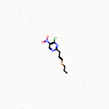 CCCSC=CCc1ncc([N+](=O)[O-])c(Cl)n1